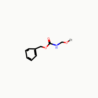 CCOCNC(=O)OCc1ccccc1